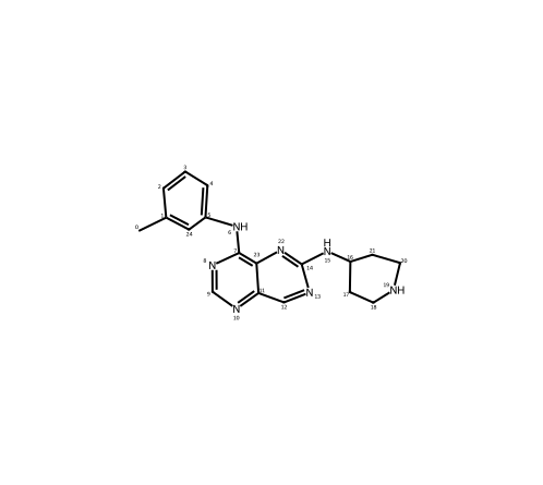 Cc1cccc(Nc2ncnc3cnc(NC4CCNCC4)nc23)c1